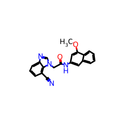 COc1cc(NC(=O)Cn2cnc3cccc(C#N)c32)cc2ccccc12